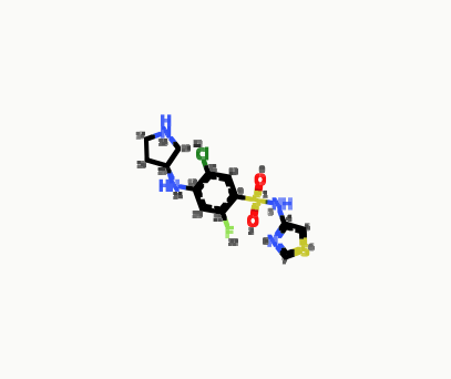 O=S(=O)(Nc1cscn1)c1cc(Cl)c(N[C@H]2CCNC2)cc1F